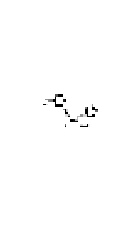 O=C(C#Cc1cccc(Cl)c1)N1CCCc2ccccc2C1